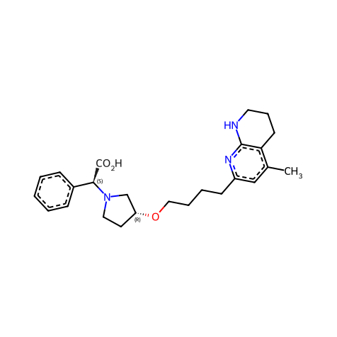 Cc1cc(CCCCO[C@@H]2CCN([C@H](C(=O)O)c3ccccc3)C2)nc2c1CCCN2